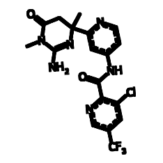 CN1C(=O)CC(C)(c2cc(NC(=O)c3ncc(C(F)(F)F)cc3Cl)ccn2)N=C1N